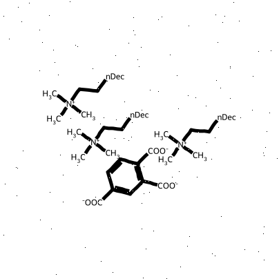 CCCCCCCCCCCC[N+](C)(C)C.CCCCCCCCCCCC[N+](C)(C)C.CCCCCCCCCCCC[N+](C)(C)C.O=C([O-])c1ccc(C(=O)[O-])c(C(=O)[O-])c1